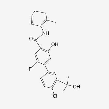 CC1=C(NC(=O)c2cc(F)c(-c3ccc(Cl)c(C(C)(C)O)n3)cc2O)C=CCC1